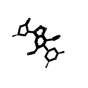 C[C@@H]1CN(c2c(C=O)cc3c(N4C[C@H](C)SC4=O)noc3c2C#N)C[C@@H](C)O1